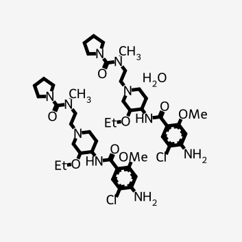 CCOC1CN(CCN(C)C(=O)N2CCCC2)CCC1NC(=O)c1cc(Cl)c(N)cc1OC.CCOC1CN(CCN(C)C(=O)N2CCCC2)CCC1NC(=O)c1cc(Cl)c(N)cc1OC.O